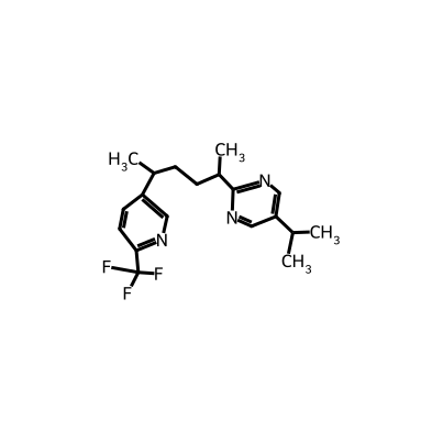 CC(C)c1cnc(C(C)CCC(C)c2ccc(C(F)(F)F)nc2)nc1